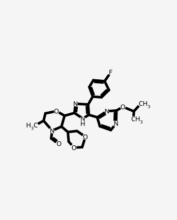 CC(C)Oc1nccc(-c2[nH]c(C3OCC(C)N(C=O)C3C3COCOC3)nc2-c2ccc(F)cc2)n1